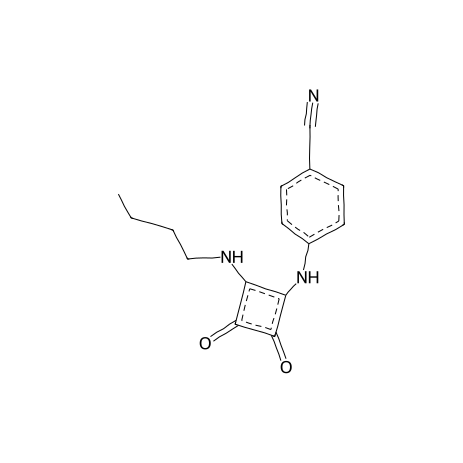 CCCCNc1c(Nc2ccc(C#N)cc2)c(=O)c1=O